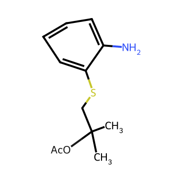 CC(=O)OC(C)(C)CSc1ccccc1N